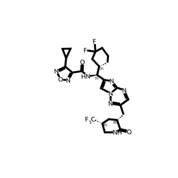 O=C(N[C@H](c1cn2nc(C[C@H]3C[C@@H](C(F)(F)F)CNC3=O)cnc2n1)[C@H]1CCCC(F)(F)C1)c1nonc1C1CC1